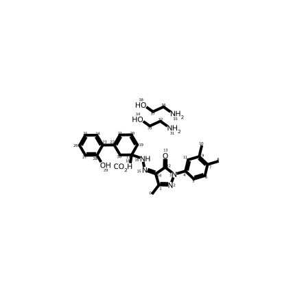 CC1=NN(c2ccc(C)c(C)c2)C(=O)C1=NNC1(C(=O)O)C=CC=C(c2ccccc2O)C1.NCCO.NCCO